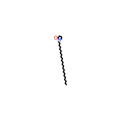 CCCCCCCCCCCCCCCCCCCCCCCCN1CCCC1=O